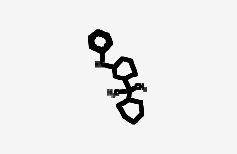 CC(C)(C1CCCCC1)C1CCCC(Nc2ccccc2)C1